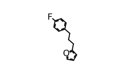 Fc1ccc(CCCc2ccco2)cc1